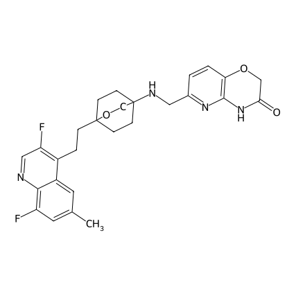 Cc1cc(F)c2ncc(F)c(CCC34CCC(NCc5ccc6c(n5)NC(=O)CO6)(CC3)CO4)c2c1